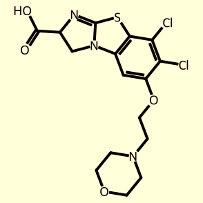 O=C(O)C1CN2C(=N1)Sc1c2cc(OCCN2CCOCC2)c(Cl)c1Cl